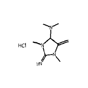 C=C1C(N(C)C)N(C)C(=N)N1C.Cl